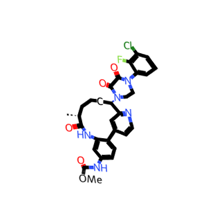 COC(=O)Nc1ccc2c(c1)NC(=O)[C@H](C)CCC[C@H](N1CCN(c3cccc(Cl)c3F)C(=O)C1=O)c1cc-2ccn1